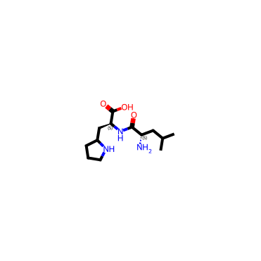 CC(C)C[C@H](N)C(=O)N[C@@H](CC1CCCN1)C(=O)O